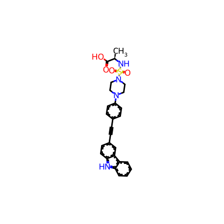 C[C@@H](NS(=O)(=O)N1CCN(c2ccc(C#Cc3ccc4[nH]c5ccccc5c4c3)cc2)CC1)C(=O)O